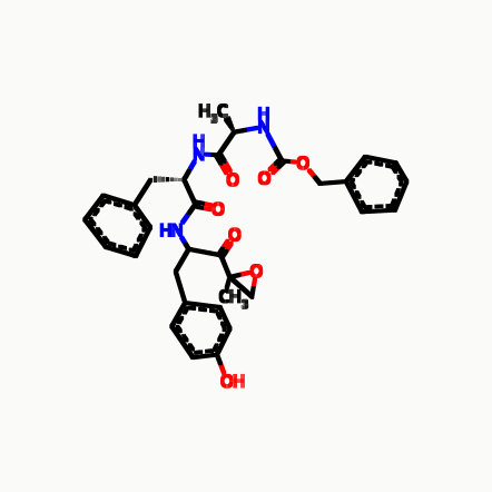 C[C@@H](NC(=O)OCc1ccccc1)C(=O)N[C@@H](Cc1ccccc1)C(=O)NC(Cc1ccc(O)cc1)C(=O)C1(C)CO1